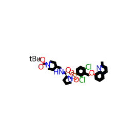 Cc1ccc2cccc(OCc3c(Cl)ccc(S(=O)(=O)N4CCC[C@H]4C(=O)NCC4CCN(C(=O)OC(C)(C)C)CC4)c3Cl)c2n1